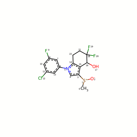 C[S+]([O-])c1cn(-c2cc(F)cc(Cl)c2)c2c1C(O)C(F)(F)CC2